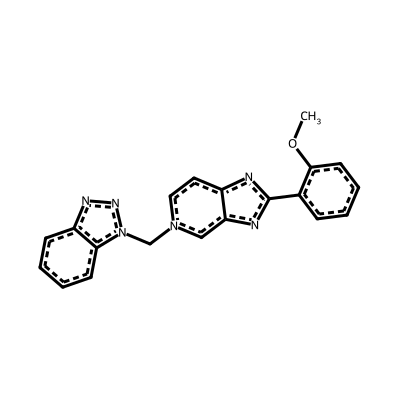 COc1ccccc1-c1nc2ccn(Cn3nnc4ccccc43)cc-2n1